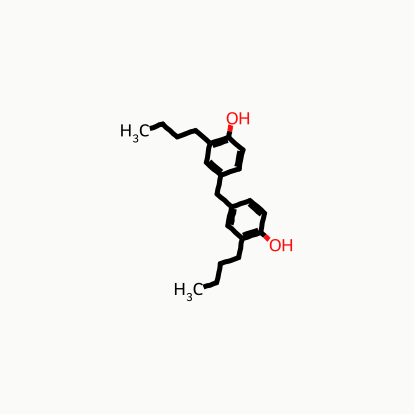 CCCCc1cc(Cc2ccc(O)c(CCCC)c2)ccc1O